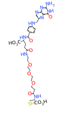 Nc1nc2ncc(CNc3ccc(C(=O)NC(CCC(=O)NCCOCCOCCOCCC(=O)N[C@@H](CS)C(=O)O)C(=O)O)cc3)nc2c(=O)[nH]1